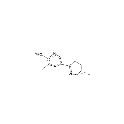 COc1ncc(C2=NC[C@@H](C)CC2)cc1C